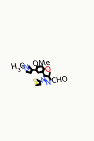 COc1cc2c(cc1-c1ccn(C)c1)-c1c(c(C=O)nn1-c1ccsc1)CO2